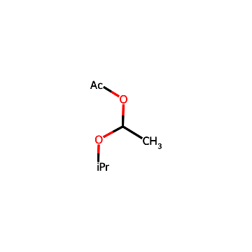 CC(=O)OC(C)OC(C)C